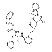 COC(=O)NC(Cc1ccccc1)C(=O)Nc1ccccc1CC[C@@H]1CN(C(=O)O)[C@H](c2nc3ccccc3[nH]2)CO1.c1cc2ccc1-2